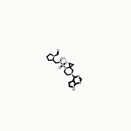 CN(CC1CCCN1C=O)S(=O)(=O)N1CCN(c2ncnc3[nH]ccc23)CC12CC2